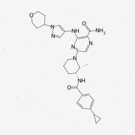 C[C@@H]1[C@H](NC(=O)c2ccc(C3CC3)cc2)CCCN1c1cnc(C(N)=O)c(Nc2cnn(C3CCOCC3)c2)n1